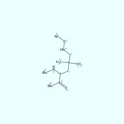 CC(C)(CNOC#N)CC(NC(C)(C)C)C(=O)C(C)(C)C